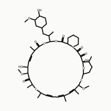 COC1CC2CCC(C)C(O)(O2)C(=O)C(=O)N2CCCCC2C(=O)OC(C(C)CC2CCC(O)C(OC)C2)CC(=O)C(C)C=CC(O)C(OC)C(=O)C(C)CC(C)C=CC=C(C)C=C1C